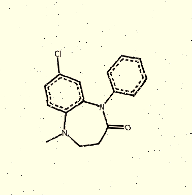 CN1CCC(=O)N(c2ccccc2)c2cc(Cl)ccc21